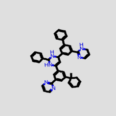 CC1(c2cc(C3=CC(c4cc(C5=NC=CCN5)cc(-c5ccccc5)c4)NC(c4ccccc4)N3)cc(-c3ncccn3)c2)C=CC=CC1